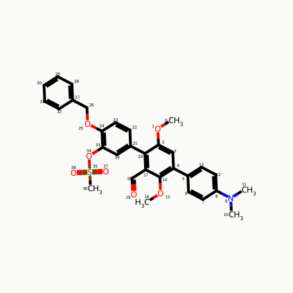 COc1cc(-c2ccc(N(C)C)cc2)c(OC)c(C=O)c1-c1ccc(OCc2ccccc2)c(OS(C)(=O)=O)c1